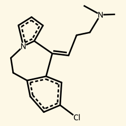 CN(C)CC/C=C1/c2cc(Cl)ccc2CCn2cccc21